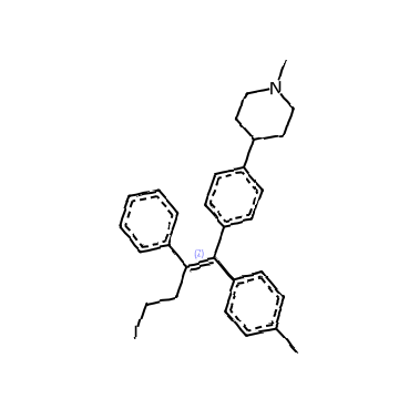 Cc1ccc(/C(=C(\CCI)c2ccccc2)c2ccc(C3CCN(C)CC3)cc2)cc1